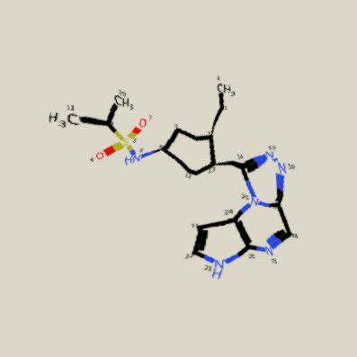 CC[C@@H]1C[C@H](NS(=O)(=O)C(C)C)C[C@@H]1c1nnc2cnc3[nH]ccc3n12